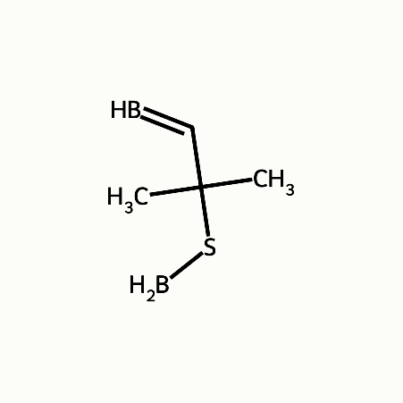 B=CC(C)(C)SB